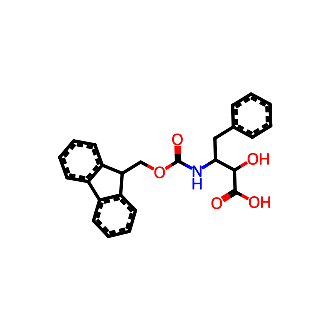 O=C(NC(Cc1ccccc1)C(O)C(=O)O)OCC1c2ccccc2-c2ccccc21